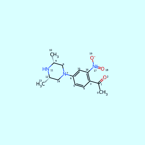 CC(=O)c1ccc(N2C[C@@H](C)N[C@@H](C)C2)cc1[N+](=O)[O-]